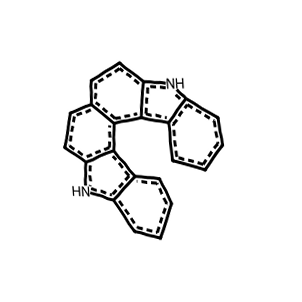 c1ccc2c(c1)[nH]c1ccc3ccc4[nH]c5ccccc5c4c3c12